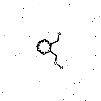 [N]OCc1ccccc1CBr